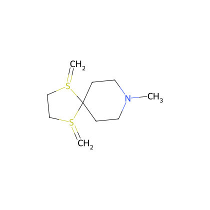 C=S1CCS(=C)C12CCN(C)CC2